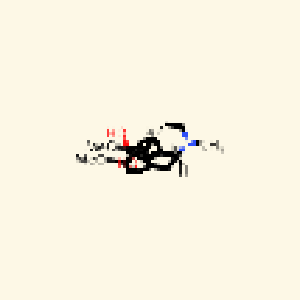 COC1=C[C@]23CCN(C)[C@H](Cc4ccc(OC)c(O)c42)C3=C[C@@H]1O